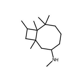 CNC1CCCC(C)(C)C2(C)C(C)CC2(C)C1